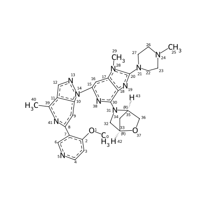 COc1ccncc1-c1cc2c(cnn2-c2cc3c(nc(N4CCN(C)CC4)n3C)c(N3C[C@H]4C[C@@H]3CO4)n2)c(C)n1